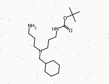 CC(C)(C)OC(=O)NCCCN(CCCN)CC1CCCCC1